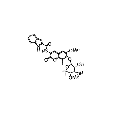 COc1cc2cc(NC(=O)c3cc4ccccc4[nH]3)c(=O)oc2c(C)c1O[C@@H]1OC(C)(C)[C@H](OC)[C@@H](O)[C@H]1O